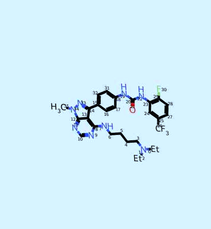 CCN(CC)CCCCNc1ncnc2c1c(-c1ccc(NC(=O)Nc3cc(C(F)(F)F)ccc3F)cc1)nn2C